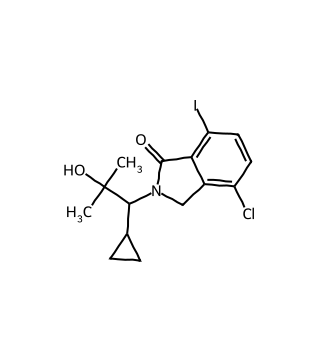 CC(C)(O)C(C1CC1)N1Cc2c(Cl)ccc(I)c2C1=O